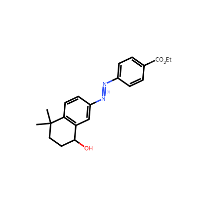 CCOC(=O)c1ccc(/N=N/c2ccc3c(c2)C(O)CCC3(C)C)cc1